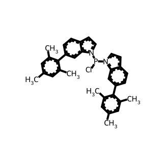 Cc1cc(C)c(-c2ccc3ccn(P(Cl)n4ccc5ccc(-c6c(C)cc(C)cc6C)cc54)c3c2)c(C)c1